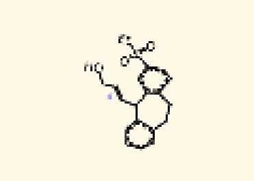 CCS(=O)(=O)c1ccc2c(c1)C(/C=C/CO)c1ccccc1CC2